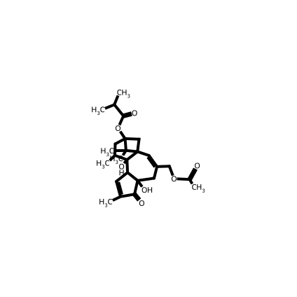 CC(=O)OCC1=CC23CC(OC(=O)C(C)C)(CC(C)C2(O)C2C=C(C)C(=O)C2(O)C1)C3(C)C